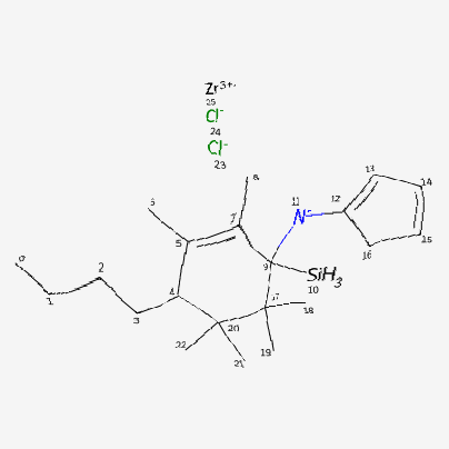 CCCCC1C(C)=C(C)C([SiH3])([N-]C2=CC=CC2)C(C)(C)C1(C)C.[Cl-].[Cl-].[Zr+3]